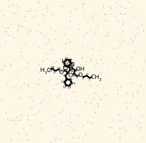 CCCCOCC(OC(Cc1ccccc1)(Cc1ccccc1)[C@H](C)OCCCC)[C@H](O)COC